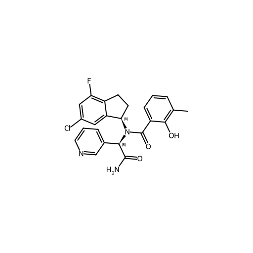 Cc1cccc(C(=O)N([C@@H]2CCc3c(F)cc(Cl)cc32)[C@@H](C(N)=O)c2cccnc2)c1O